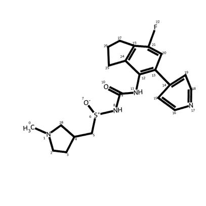 CN1CCC(C[S+]([O-])NC(=O)Nc2c(-c3ccncc3)cc(F)c3c2CCC3)C1